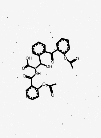 CC(=O)Oc1ccccc1C(=O)NC(C(=O)O)C(O)c1ccccc1C(=O)c1ccccc1OC(C)=O